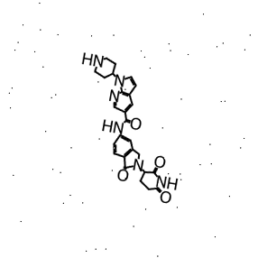 O=C1CCC(N2Cc3cc(NC(=O)c4cnc5c(ccn5C5CCNCC5)c4)ccc3C2=O)C(=O)N1